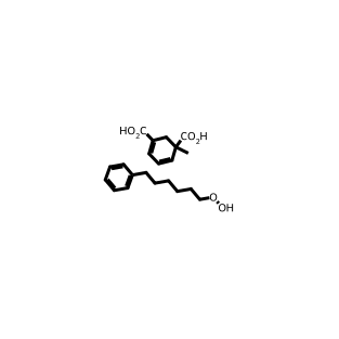 CC1(C(=O)O)C=CC=C(C(=O)O)C1.OOCCCCCCc1ccccc1